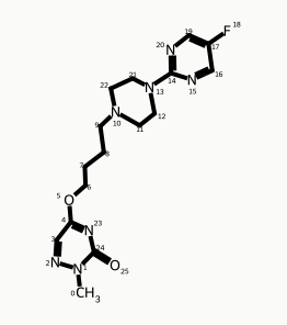 Cn1ncc(OCCCCN2CCN(c3ncc(F)cn3)CC2)nc1=O